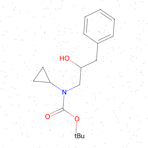 CC(C)(C)OC(=O)N(CC(O)Cc1ccccc1)C1CC1